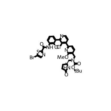 COc1nc(-c2ccnc(-c3cccc(NC(=O)c4ncc(Br)s4)c3Cl)c2Cl)ccc1CN(C[C@@H]1CCC(=O)N1)C(=O)OC(C)(C)C